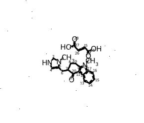 CN1CNC=C1CC1CCc2c(c3ccccc3n2C)C1=O.O=C(O)C=CC(=O)O